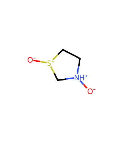 [O-][NH+]1CC[S+]([O-])C1